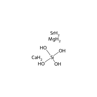 O[Si](O)(O)O.[CaH2].[MgH2].[SrH2]